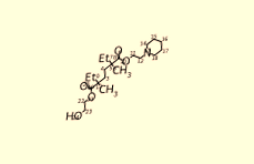 CCC(C)(CCC(C)(CC)C(=O)OCCN1CCCCC1)C(=O)OCCO